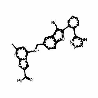 Cc1cc(NCc2ccc3oc(-c4ccccc4-c4nnn[nH]4)c(Br)c3c2)n2cc(C(=O)O)nc2n1